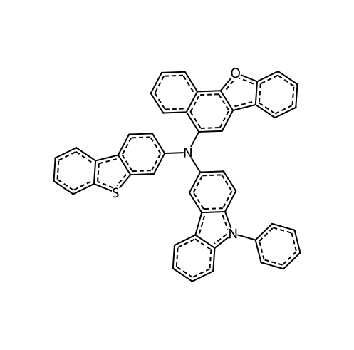 c1ccc(-n2c3ccccc3c3cc(N(c4ccc5c(c4)sc4ccccc45)c4cc5c6ccccc6oc5c5ccccc45)ccc32)cc1